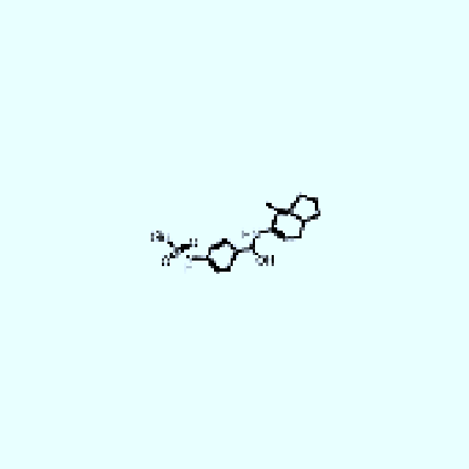 CC1=C2CCCC2CC=C1NC(O)C1C=CC(NS(=O)(=O)C(C)(C)C)=CC1